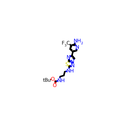 CC(C)(C)OC(=O)NCCCNc1nn2cc(-c3cnc(N)c(C(F)(F)F)c3)nc2s1